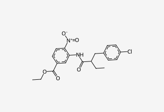 CCOC(=O)c1ccc([N+](=O)[O-])c(NC(=O)C(CC)Cc2ccc(Cl)cc2)c1